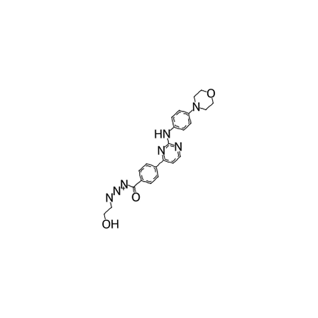 O=C(N=[N+]=NCCO)c1ccc(-c2ccnc(Nc3ccc(N4CCOCC4)cc3)n2)cc1